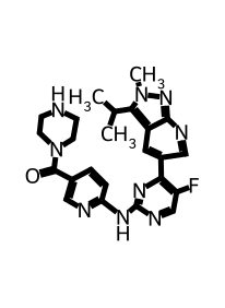 CC(C)c1c2cc(-c3nc(Nc4ccc(C(=O)N5CCNCC5)cn4)ncc3F)cnc2nn1C